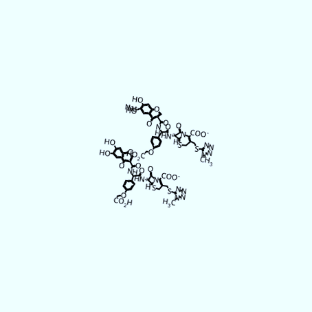 Cn1nnnc1SCC1=C(C(=O)[O-])N2C(=O)[C@@H](NC(=O)C(NC(=O)c3coc4cc(O)c(O)cc4c3=O)c3ccc(OCC(=O)O)cc3)[C@H]2SC1.Cn1nnnc1SCC1=C(C(=O)[O-])N2C(=O)[C@@H](NC(=O)C(NC(=O)c3coc4cc(O)c(O)cc4c3=O)c3ccc(OCC(=O)O)cc3)[C@H]2SC1.[Na+].[Na+]